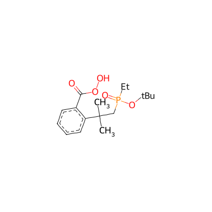 CCP(=O)(CC(C)(C)c1ccccc1C(=O)OO)OC(C)(C)C